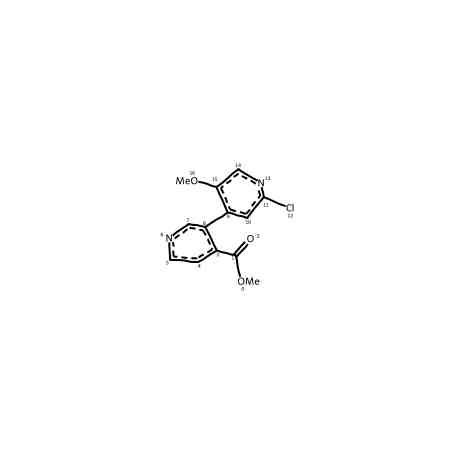 COC(=O)c1ccncc1-c1cc(Cl)ncc1OC